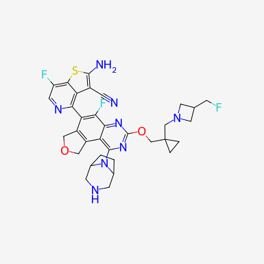 N#Cc1c(N)sc2c(F)cnc(-c3c4c(c5c(N6C7CCC6CNC7)nc(OCC6(CN7CC(CF)C7)CC6)nc5c3F)COC4)c12